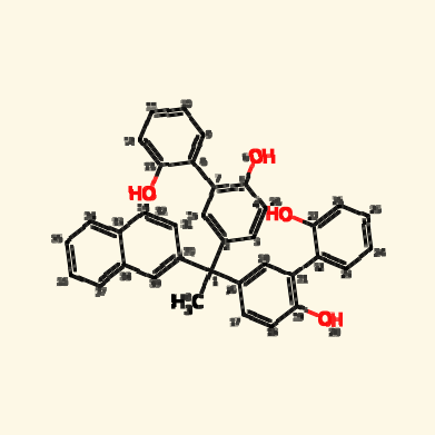 CC(c1ccc(O)c(-c2ccccc2O)c1)(c1ccc(O)c(-c2ccccc2O)c1)c1ccc2ccccc2c1